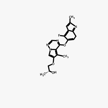 CC1=CC2=C(F)C(Oc3ncnn4cc(OC[C@@H](C)O)c(C)c34)=CCC2=N1